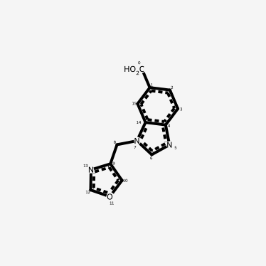 O=C(O)c1ccc2ncn(Cc3cocn3)c2c1